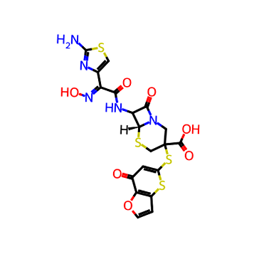 Nc1nc(C(=NO)C(=O)NC2C(=O)N3CC(Sc4cc(=O)c5occc5s4)(C(=O)O)CS[C@H]23)cs1